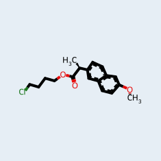 COc1ccc2cc([C@H](C)C(=O)OCCCCCl)ccc2c1